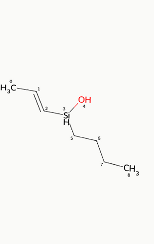 CC=C[SiH](O)CCCC